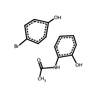 CC(=O)Nc1ccccc1O.Oc1ccc(Br)cc1